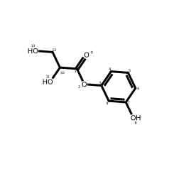 O=C(Oc1cccc(O)c1)C(O)CO